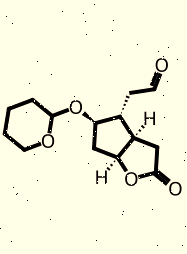 O=CC[C@@H]1[C@H]2CC(=O)O[C@H]2C[C@H]1OC1CCCCO1